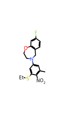 CCSc1cc(N2CCOc3cc(F)ccc3C2)cc(C)c1[N+](=O)[O-]